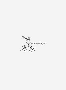 CCCCCCCC(C[SiH](Cl)Cl)N([Si](C)(C)C(C)(C)C)[Si](C)(C)C(C)(C)C